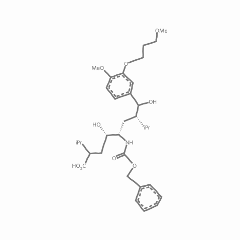 COCCCOc1cc(C(O)[C@@H](C[C@H](NC(=O)OCc2ccccc2)[C@@H](O)CC(C(=O)O)C(C)C)C(C)C)ccc1OC